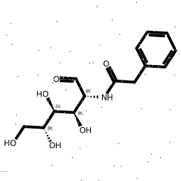 O=C[C@H](NC(=O)Cc1ccccc1)[C@@H](O)[C@H](O)[C@H](O)CO